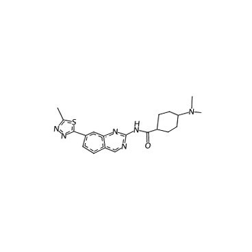 Cc1nnc(-c2ccc3cnc(NC(=O)C4CCC(N(C)C)CC4)nc3c2)s1